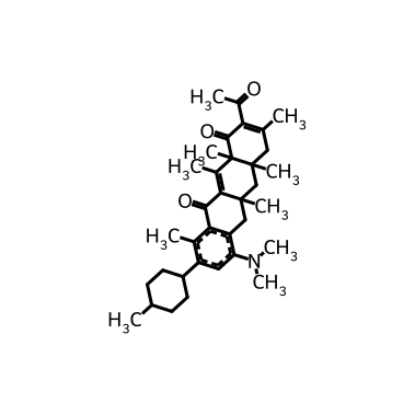 CC(=O)C1=C(C)CC2(C)CC3(C)Cc4c(N(C)C)cc(C5CCC(C)CC5)c(C)c4C(=O)C3=C(C)C2(C)C1=O